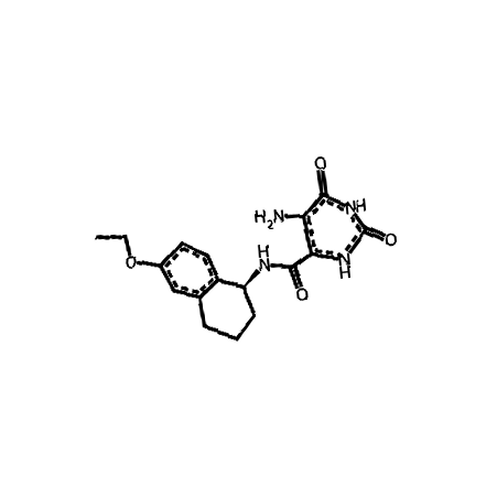 CCOc1ccc2c(c1)CCC[C@@H]2NC(=O)c1[nH]c(=O)[nH]c(=O)c1N